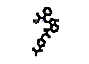 CC(=O)Nc1ccc(CC(=O)Nc2ccnc3[nH]cc(/C=C(/C(N)=O)c4ccccc4)c23)cc1